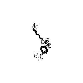 CC(=O)CCCCCCOS(=O)(=O)c1ccc(C)cc1